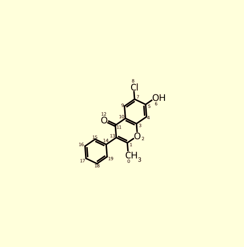 Cc1oc2cc(O)c(Cl)cc2c(=O)c1-c1ccccc1